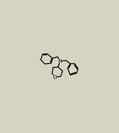 C1=CC(CN(Cc2ccccc2)C2CCOCC2)=CCC1